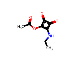 CCNc1c(OC(C)=O)c(=O)c1=O